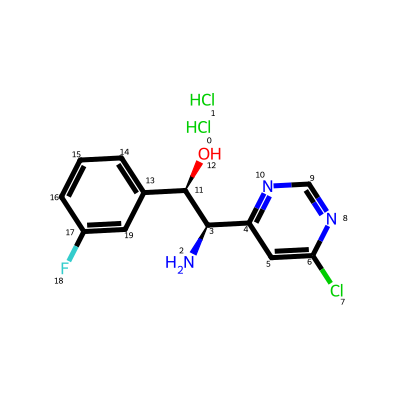 Cl.Cl.N[C@H](c1cc(Cl)ncn1)[C@H](O)c1cccc(F)c1